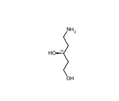 NCC[C@H](O)CCO